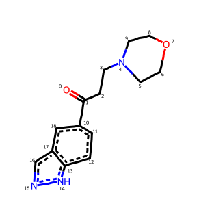 O=C(CCN1CCOCC1)c1ccc2[nH]ncc2c1